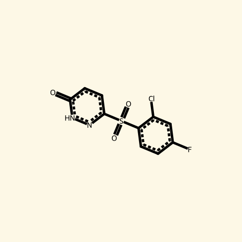 O=c1ccc(S(=O)(=O)c2ccc(F)cc2Cl)n[nH]1